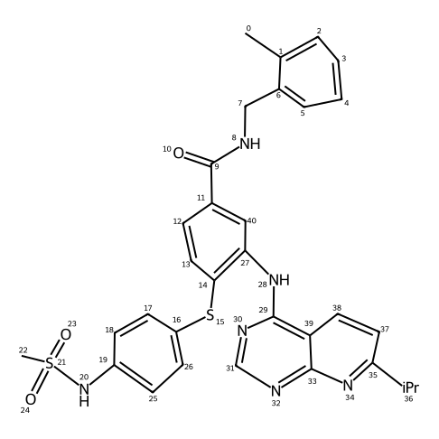 Cc1ccccc1CNC(=O)c1ccc(Sc2ccc(NS(C)(=O)=O)cc2)c(Nc2ncnc3nc(C(C)C)ccc23)c1